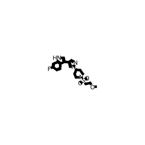 COCCS(=O)(=O)N1CCC(n2cc(-c3c[nH]c4cc(F)ccc34)cn2)CC1